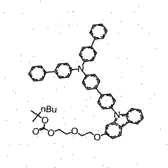 CCCCC(C)(C)OC(=O)OCCOCCOc1ccc2c3ccccc3n(-c3ccc(-c4ccc(N(c5ccc(-c6ccccc6)cc5)c5ccc(-c6ccccc6)cc5)cc4)cc3)c2c1